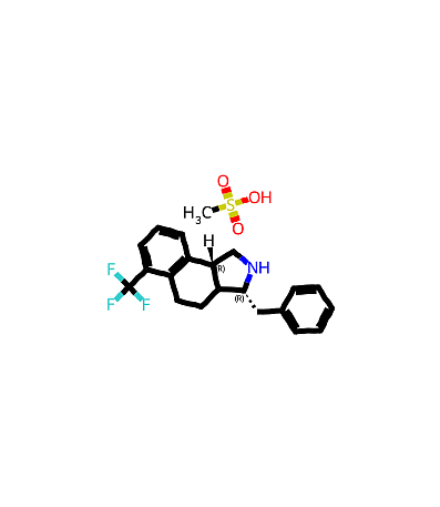 CS(=O)(=O)O.FC(F)(F)c1cccc2c1CCC1[C@@H](Cc3ccccc3)NC[C@@H]21